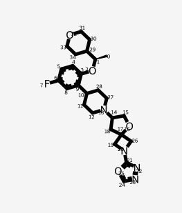 C[C@@H](Oc1ccc(F)cc1C1CCN(C2COC3(C2)CN(c2nnco2)C3)CC1)C1CCOCC1